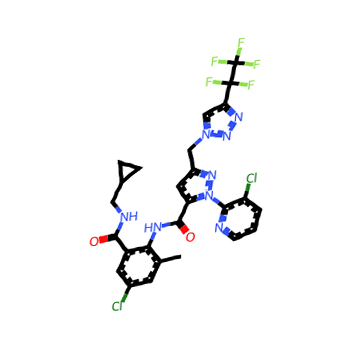 Cc1cc(Cl)cc(C(=O)NCC2CC2)c1NC(=O)c1cc(Cn2cc(C(F)(F)C(F)(F)F)nn2)nn1-c1ncccc1Cl